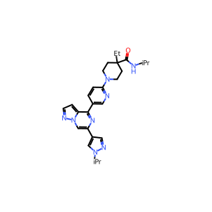 CCC1(C(=O)NC(C)C)CCN(c2ccc(-c3nc(-c4cnn(C(C)C)c4)cn4nccc34)cn2)CC1